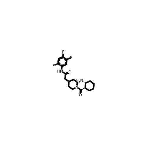 N[C@@H]1CCCC[C@H]1C(=O)N1CCC(CC(=O)Nc2cc(F)c(F)cc2F)CC1